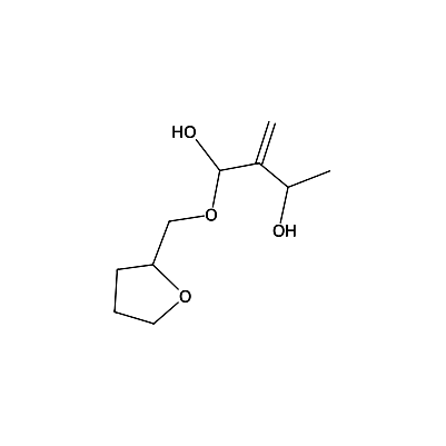 C=C(C(C)O)C(O)OCC1CCCO1